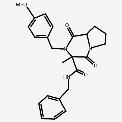 COc1ccc(CN2C(=O)C3CCCN3C(=O)C2(C)C(=O)NCc2ccccc2)cc1